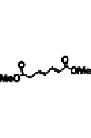 COC(=O)/C=C/C=C/CC(=O)OC